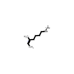 C/C=C(/C)CCCCN[C@H](C)CC